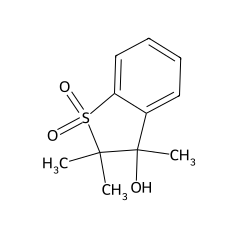 CC1(O)c2ccccc2S(=O)(=O)C1(C)C